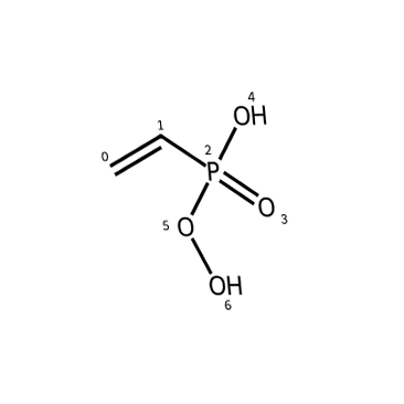 C=CP(=O)(O)OO